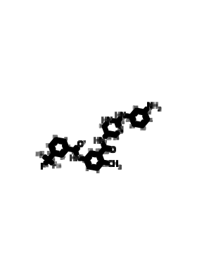 Cc1ccc(NC(=O)c2cccc(C(F)(F)F)c2)cc1C(=O)NC1=CN=C(Nc2cccc(N)c2)NC1